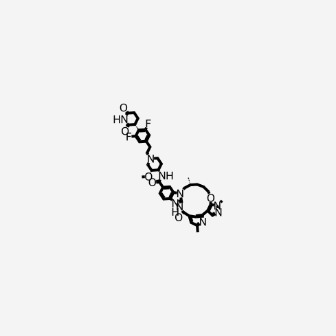 CO[C@@H]1CN(CCc2cc(F)c([C@H]3CCC(=O)NC3=O)c(F)c2)CC[C@H]1NC(=O)c1ccc2c(c1)N1C[C@H](C)CCCOc3c(cnn3C)-c3cc(cc(C)n3)C(=O)/N=C/1N2